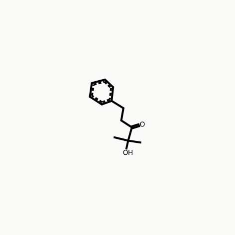 CC(C)(O)C(=O)CCc1ccccc1